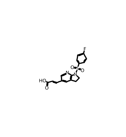 O=C(O)C=Cc1cnc2c(c1)CCN2S(=O)(=O)c1ccc(F)cc1